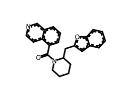 O=C(c1cccc2cnccc12)N1CCCCC1Cc1cc2ccccc2o1